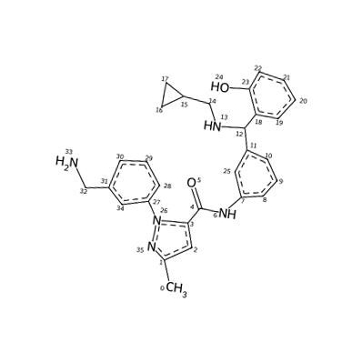 Cc1cc(C(=O)Nc2cccc(C(NCC3CC3)c3ccccc3O)c2)n(-c2cccc(CN)c2)n1